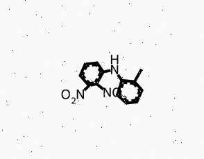 Cc1ccccc1Nc1cccc([N+](=O)[O-])c1[N+](=O)[O-]